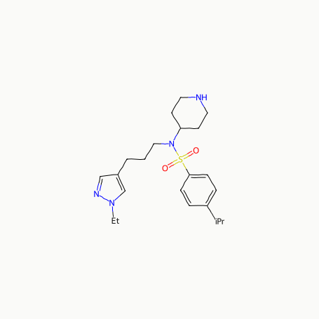 CCn1cc(CCCN(C2CCNCC2)S(=O)(=O)c2ccc(C(C)C)cc2)cn1